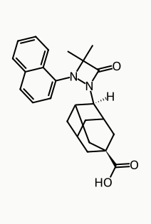 CC1(C)C(=O)N([C@H]2C3CC4CC2C[C@@](C(=O)O)(C4)C3)N1c1cccc2ccccc12